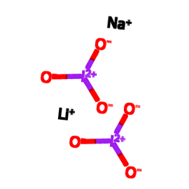 [Li+].[Na+].[O-][I+2]([O-])[O-].[O-][I+2]([O-])[O-]